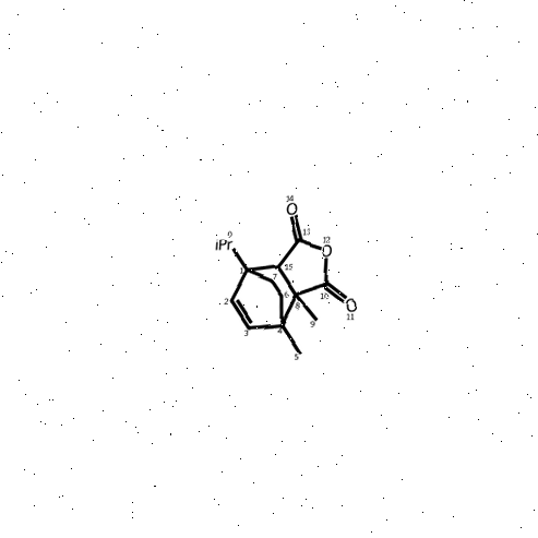 CC(C)C12C=CC(C)(CC1)C1(C)C(=O)OC(=O)C21